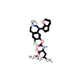 COC(=O)C(CC(C)C)NC(=O)Oc1cc2c(cc1Cl)CCN(C)CC2c1ccc2cccoc1-2